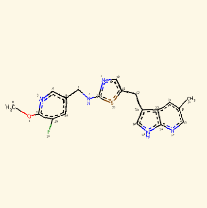 COc1ncc(CNc2ncc(Cc3c[nH]c4ncc(C)cc34)s2)cc1F